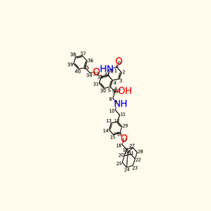 O=c1ccc2c([C@@H](O)CNCCc3cccc(OCC4C5CC6CC(C5)CC4C6)c3)ccc(OCc3ccccc3)c2[nH]1